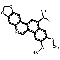 COc1cc2c(C(O)Cl)cc3c4cc5c(cc4ncc3c2cc1OC)OCO5